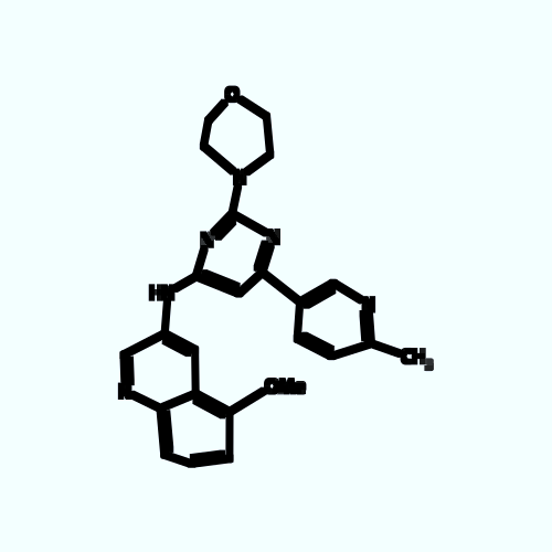 COc1cccc2ncc(Nc3cc(-c4ccc(C)nc4)nc(N4CCOCC4)n3)cc12